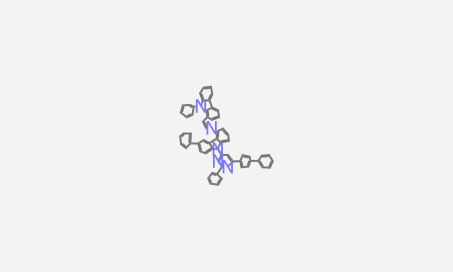 c1ccc(-c2ccc(-c3cc(-n4c5ccc(-c6ccccc6)cc5c5c(-n6ccc7c6ccc6c8ccccc8n(-c8ccccc8)c67)cccc54)nc(-c4ccccc4)n3)cc2)cc1